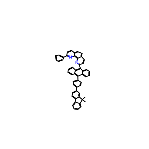 CC1(C)c2ccccc2-c2ccc(-c3ccc(-c4c5ccccc5c(-c5ccc6ccc7ccc(-c8ccccc8)nc7c6n5)c5ccccc45)cc3)cc21